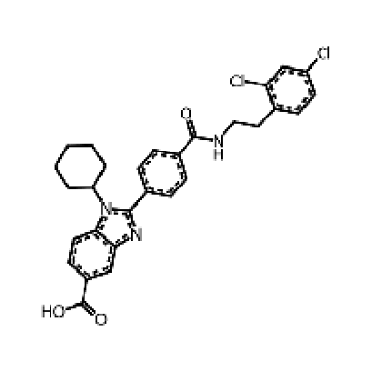 O=C(O)c1ccc2c(c1)nc(-c1ccc(C(=O)NCCc3ccc(Cl)cc3Cl)cc1)n2C1CCCCC1